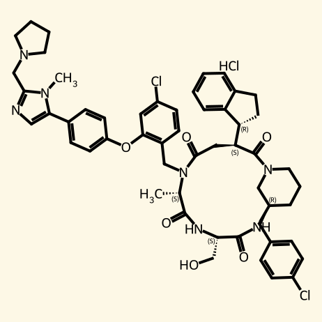 C[C@H]1C(=O)N[C@@H](CO)C(=O)N[C@@]2(Cc3ccc(Cl)cc3)CCCN(C2)C(=O)[C@H]([C@H]2CCc3ccccc32)CC(=O)N1Cc1ccc(Cl)cc1Oc1ccc(-c2cnc(CN3CCCC3)n2C)cc1.Cl